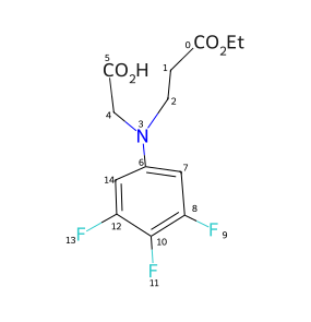 CCOC(=O)CCN(CC(=O)O)c1cc(F)c(F)c(F)c1